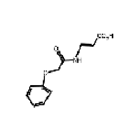 O=C(O)C=CNC(=O)COc1ccccc1